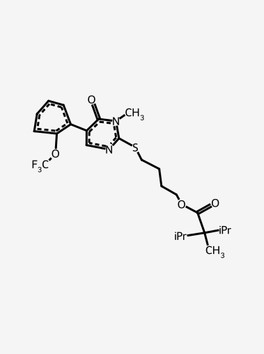 CC(C)C(C)(C(=O)OCCCCSc1ncc(-c2ccccc2OC(F)(F)F)c(=O)n1C)C(C)C